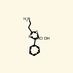 Cl.Cl.NCCc1nc(-c2ccccc2)cs1